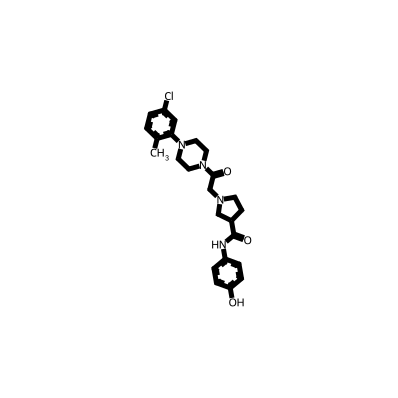 Cc1ccc(Cl)cc1N1CCN(C(=O)CN2CCC(C(=O)Nc3ccc(O)cc3)C2)CC1